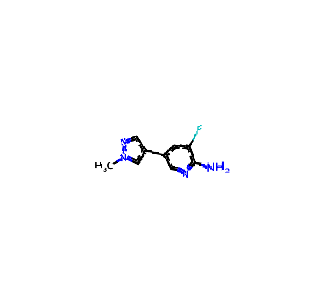 Cn1cc(-c2cnc(N)c(F)c2)cn1